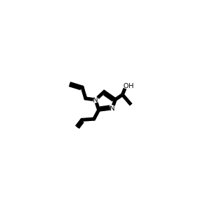 C=CCc1nc(C(C)O)cn1CC=C